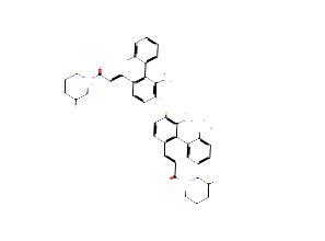 CCOC(=O)C1CCCN(C(=O)/C=C/c2ccc(Sc3ccc(/C=C/C(=O)N4CCCC(C(=O)OCC)C4)c(-c4ccccc4C(C)C)c3[N+](=O)[O-])c([N+](=O)[O-])c2-c2ccccc2C(C)C)C1